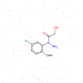 COc1ccc(Cl)cc1N(N)C(=O)CO